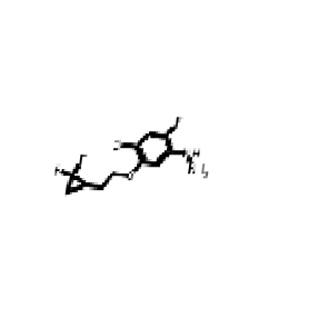 NNc1cc(OCCC2CC2(F)F)c(Cl)cc1F